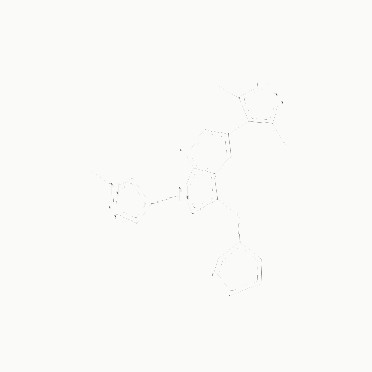 Cc1noc(C)c1-c1cnc2c(c1)c(Sc1ccccc1)cn2-c1cnn(C)c1